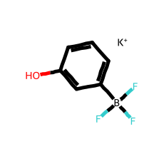 Oc1cccc([B-](F)(F)F)c1.[K+]